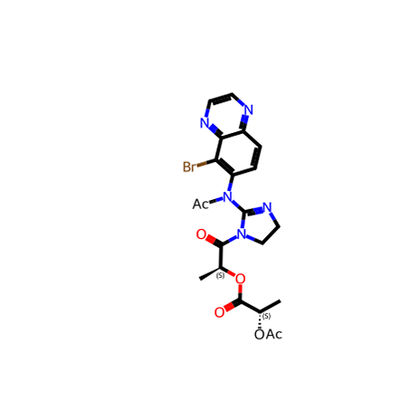 CC(=O)O[C@@H](C)C(=O)O[C@@H](C)C(=O)N1CCN=C1N(C(C)=O)c1ccc2nccnc2c1Br